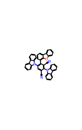 N#Cc1cc(-n2c3ccccc3c3ccccc32)c(-c2cccc3c2oc2ccccc23)c(C#N)c1-n1c2ccccc2c2ccccc21